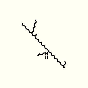 C=C(CC)CCCCCCCCC(CCCCCCCCC(=C)CC(CCCCCC)CCCCCC)NCCCC